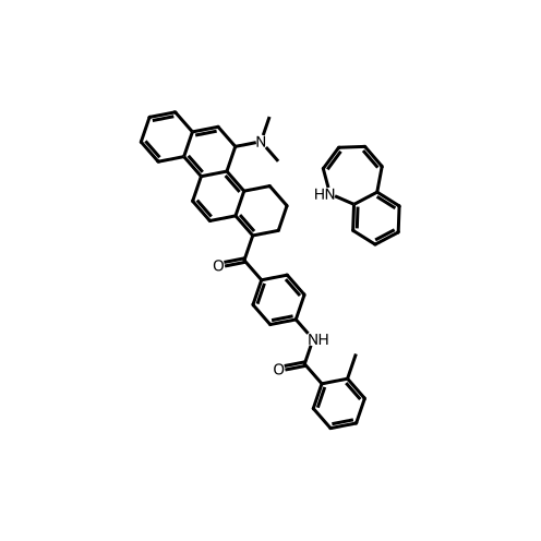 C1=CNc2ccccc2C=C1.Cc1ccccc1C(=O)Nc1ccc(C(=O)C2=c3ccc4c(c3CCC2)C(N(C)C)C=c2ccccc2=4)cc1